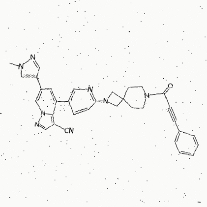 Cn1cc(-c2cc(-c3ccc(N4CC5(CCN(C(=O)C#Cc6ccccc6)CC5)C4)nc3)c3c(C#N)cnn3c2)cn1